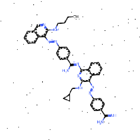 CCCCNc1ncc2ccccc2c1/N=N/c1ccc(/C(N)=N/c2nc(NCC3CC3)c(/N=N/c3ccc(C(=N)N)cc3)c3ccccc23)cc1